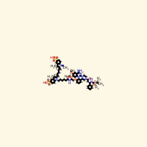 CCN1c2ccc(S(=O)(=O)O)cc2C(C)(C)C1/C=C/C=C/C=C1/N(CCCCCC(=O)NCCOc2cccc(C3CN(C(=O)C[C@@H](NC(=O)OC(C)(C)C)c4ccccc4)CCN3c3nc(N)c4cc(OC)c(OC)cc4n3)c2)c2ccc(S(=O)(=O)O)cc2C1(C)C